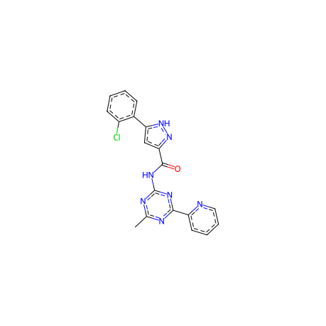 Cc1nc(NC(=O)c2cc(-c3ccccc3Cl)[nH]n2)nc(-c2ccccn2)n1